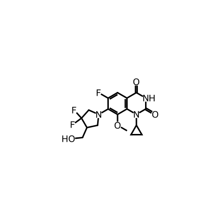 COc1c(N2CC(CO)C(F)(F)C2)c(F)cc2c(=O)[nH]c(=O)n(C3CC3)c12